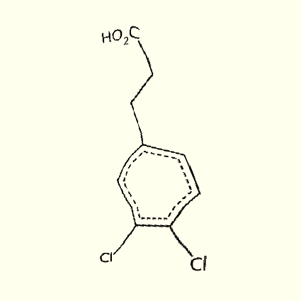 O=C(O)CCc1ccc(Cl)c(Cl)c1